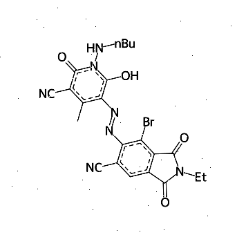 CCCCNn1c(O)c(/N=N/c2c(C#N)cc3c(c2Br)C(=O)N(CC)C3=O)c(C)c(C#N)c1=O